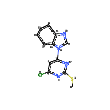 CSc1nc(Cl)cc(-n2cnc3ccccc32)n1